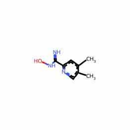 Cc1cnc(C(=N)NO)cc1C